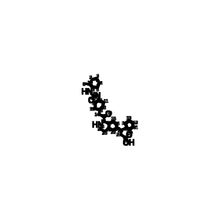 Cc1ccccc1Nc1nc2ccc(CC(=O)C3NCCc4cc(C(CC(=O)O)c5ccccc5)ccc43)cc2o1